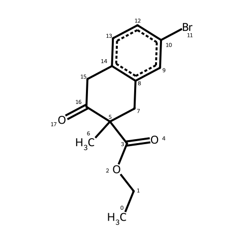 CCOC(=O)C1(C)Cc2cc(Br)ccc2CC1=O